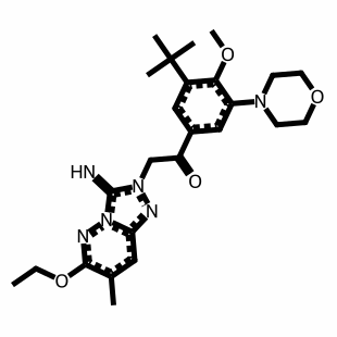 CCOc1nn2c(=N)n(CC(=O)c3cc(N4CCOCC4)c(OC)c(C(C)(C)C)c3)nc2cc1C